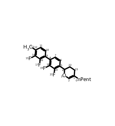 CCCCCC1=COC(c2ccc(-c3ccc(C)c(F)c3F)c(F)c2F)CC1